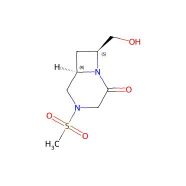 CS(=O)(=O)N1CC(=O)N2[C@H](CO)C[C@@H]2C1